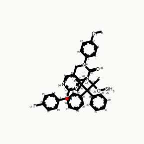 COc1ccc(N2Cc3cnc(Nc4ccc(F)cc4)nc3N(C(C)(O[SiH3])C(c3ccccc3)(c3ccccc3)C(C)(C)C)C2=O)cc1